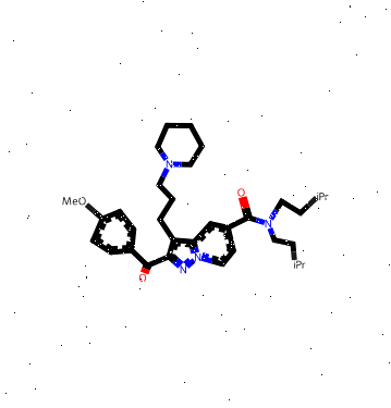 COc1ccc(C(=O)c2nn3ccc(C(=O)N(CCC(C)C)CCC(C)C)cc3c2CCCN2CCCCC2)cc1